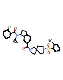 N#Cc1ccccc1S(=O)(=O)N1CCC2(CCN(C(=O)c3ccc4c(c3)C(N(C(=O)c3ccccc3Cl)C3CC3)CC4)C2)CC1